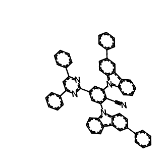 N#Cc1c(-n2c3ccccc3c3cc(-c4ccccc4)ccc32)cc(-c2nc(-c3ccccc3)cc(-c3ccccc3)n2)cc1-n1c2ccccc2c2cc(-c3ccccc3)ccc21